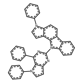 c1ccc(-c2nc(-n3c4ccccc4c4ccc5c(ccn5-c5ccccc5)c43)nc3ccn(-c4ccccc4)c23)cc1